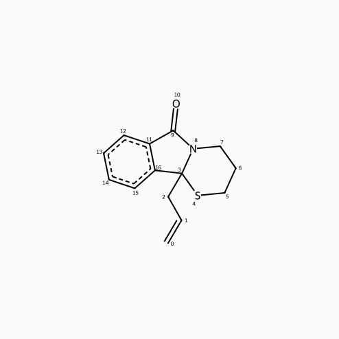 C=CCC12SCCCN1C(=O)c1ccccc12